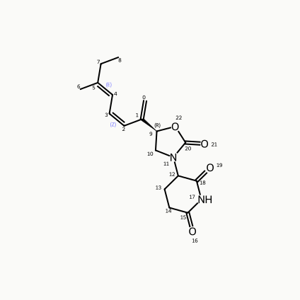 C=C(/C=C\C=C(/C)CC)[C@@H]1CN(C2CCC(=O)NC2=O)C(=O)O1